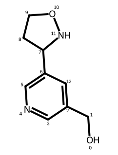 OCc1cncc(C2CCON2)c1